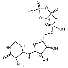 NC1C(=O)NCNC1NC1O[C@H](COP(=O)(O)OP(=O)(O)OP(=O)(O)O)[C@@H](O)[C@H]1O